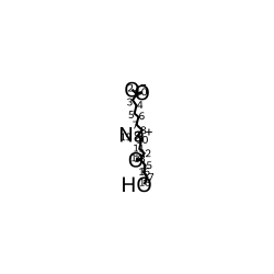 O=C([O-])CCCCCCCCCCC(=O)CCCO.[Na+]